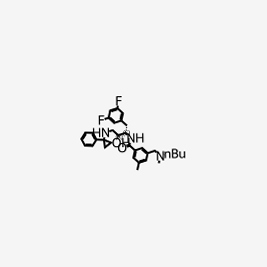 CCCCN(C)Cc1cc(C)cc(C(=O)N[C@@H](Cc2cc(F)cc(F)c2)[C@H](O)CNC2(c3ccccc3)CC2)c1